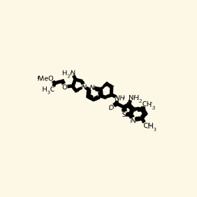 COC(C)COC1CN(c2ccc3c(n2)CCC(NC(=O)c2sc4nc(C)cc(C)c4c2N)C3)CC1N